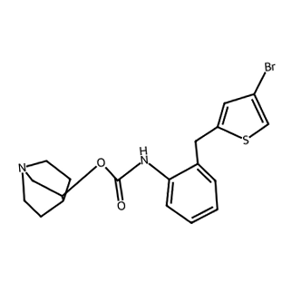 O=C(Nc1ccccc1Cc1cc(Br)cs1)OC1CN2CCC1CC2